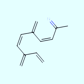 C=CC(=C)/C=C\C(=C)/C=C\C(C)=N